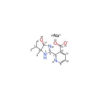 CC(C)C1(C)NC(c2ncccc2C(=O)[O-])=NC1=O.[Na+]